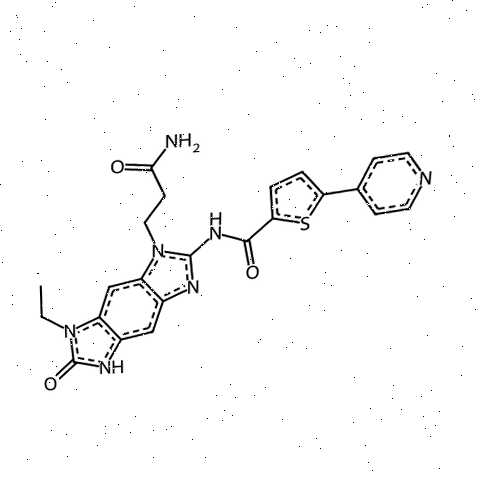 CCn1c(=O)[nH]c2cc3nc(NC(=O)c4ccc(-c5ccncc5)s4)n(CCC(N)=O)c3cc21